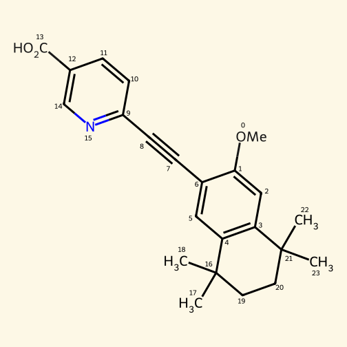 COc1cc2c(cc1C#Cc1ccc(C(=O)O)cn1)C(C)(C)CCC2(C)C